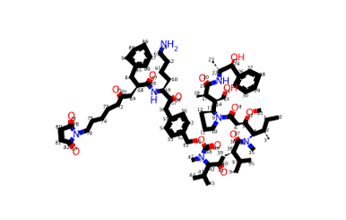 CC[C@H](C)[C@@H]([C@@H](CC(=O)N1CCC[C@H]1[C@H](CO)[C@@H](C)C(=O)N[C@H](C)[C@@H](O)c1ccccc1)OC)N(C)C(=O)[C@@H](CC(=O)C(C(C)C)N(C)C(=O)OCc1ccc(CC(=O)[C@H](CCCCN)NC(=O)[C@@H](CC(=O)CCCCCN2C(=O)C=CC2=O)Cc2ccccc2)cc1)C(C)C